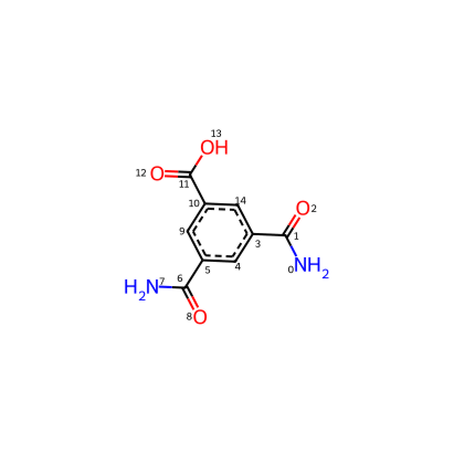 NC(=O)c1cc(C(N)=O)cc(C(=O)O)c1